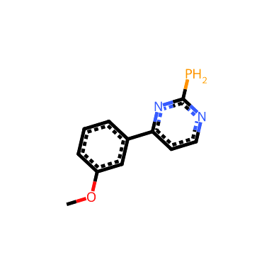 COc1cccc(-c2ccnc(P)n2)c1